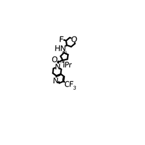 CC(C)[C@]1(C(=O)N2CCc3ncc(C(F)(F)F)cc3C2)CC[C@@H](NC2CCOCC2F)C1